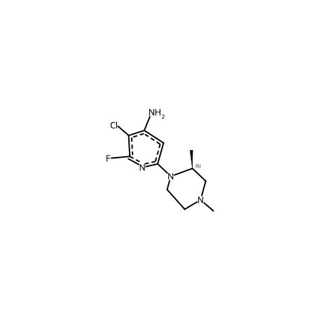 C[C@H]1CN(C)CCN1c1cc(N)c(Cl)c(F)n1